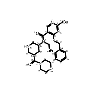 CC(C)CN(C(=O)c1cnc(C(C)(C)C)nc1NCc1ccccc1)[C@@H]1CNC[C@H](C(=O)N2CCOCC2)C1